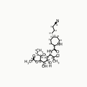 CS[C@H]1O[C@H]([C@H](NC(=O)C2CC[C@H](CCCC#N)CCN2)[C@H](C)Cl)[C@H](O)[C@H](O)[C@H]1OC(C)=O